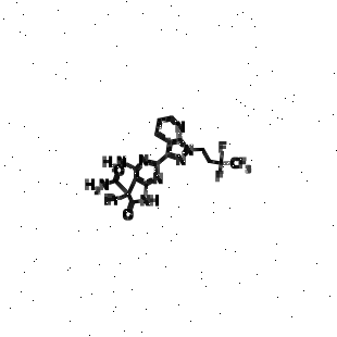 CC(C)C1(C(N)=O)C(=O)Nc2nc(-c3nn(CCC(F)(F)C(F)(F)F)c4ncccc34)nc(N)c21